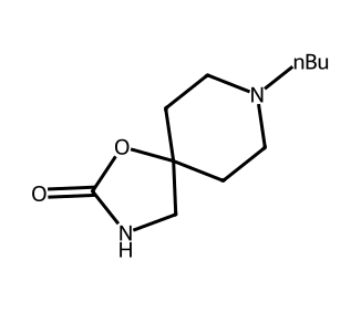 CCCCN1CCC2(CC1)CNC(=O)O2